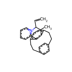 C=CC1C(C)c2c3ccc(c2-c2cccc[n+]21)CCc1ccc(cc1)CC3